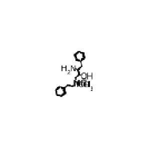 CN(CCc1ccccc1)C[C@H](O)[C@H](N)Cc1ccccc1.Cl.Cl